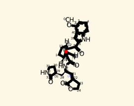 COc1cccc2[nH]c(C(=O)N3[C@H]4CC[C@@H]([C@H]3C(=O)N[C@@H](/C=C3/CCOC3=O)C[C@@H]3CCNC3=O)C(F)(F)C4)cc12